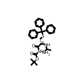 CC(N)N[C@@H](CSC(c1ccccc1)(c1ccccc1)c1ccccc1)C(=O)NC(=O)OC(C)(C)C